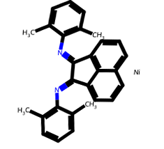 Cc1cccc(C)c1N=C1C(=Nc2c(C)cccc2C)c2cccc3cccc1c23.[Ni]